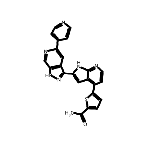 CC(=O)c1ccc(-c2ccnc3[nH]c(-c4n[nH]c5cnc(-c6ccncc6)cc45)cc23)s1